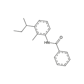 CCC(C)c1cccc(NC(=O)c2ccccc2)c1C